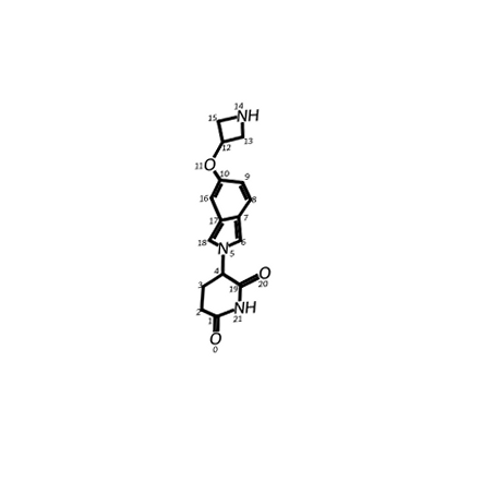 O=C1CCC(n2cc3ccc(OC4CNC4)cc3c2)C(=O)N1